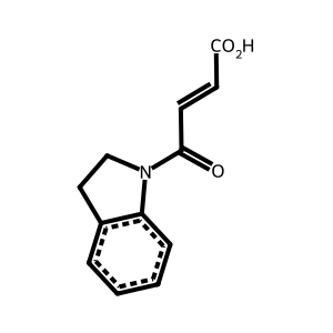 O=C(O)C=CC(=O)N1CCc2ccccc21